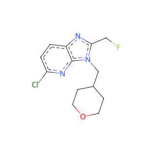 FCc1nc2ccc(Cl)nc2n1CC1CCOCC1